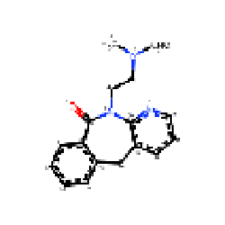 CN(C=O)CCN1C(=O)c2ccccc2Cc2cccnc21